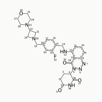 O=C1CCC(n2nnc3cccc(NCc4ccc(CN5CC(N6CCOCC6)C5)cc4F)c3c2=O)C(=O)N1